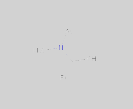 CC[C@@H](C)N(C)C(C)=O